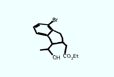 CCOC(=O)CC1Cc2c(Br)cccc2C1C(C)O